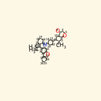 Cc1cc2occc(=O)c2cc1-c1ccc(N2c3ccccc3C(C)(C)c3cc4c(cc32)oc2ccccc24)cc1